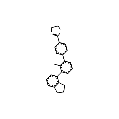 Clc1c(-c2ccc(C3=NCCN3)cc2)cccc1-c1cccc2c1CCC2